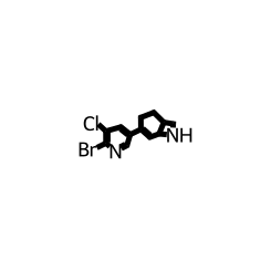 Clc1cc(C2=CC3NCC3CC2)cnc1Br